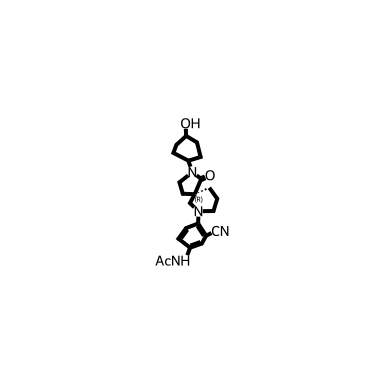 CC(=O)Nc1ccc(N2CCC[C@@]3(CCN(C4CCC(O)CC4)C3=O)C2)c(C#N)c1